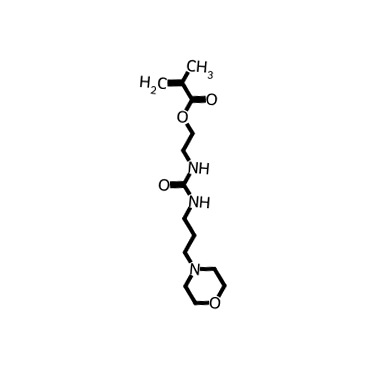 C=C(C)C(=O)OCCNC(=O)NCCCN1CCOCC1